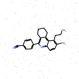 CCCc1c(C)ccc2nc(-c3ccc(C#N)cc3)c3c(c12)CCCC3